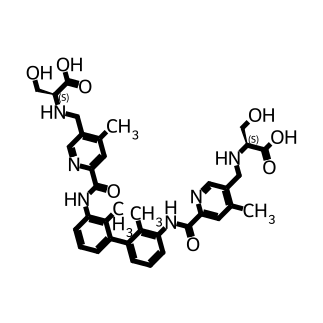 Cc1cc(C(=O)Nc2cccc(-c3cccc(NC(=O)c4cc(C)c(CN[C@@H](CO)C(=O)O)cn4)c3C)c2C)ncc1CN[C@@H](CO)C(=O)O